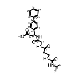 CC(C)NC(=O)NCCC(=O)NCC(=O)NC(CC(=O)O)c1ccc(-c2ccccc2)cc1